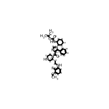 COc1cccc(NCC[C@@H]2CNCCN2C(=O)c2ncn([C@H]3CCCC[C@@H]3NC(=O)OC(C)C)c2-c2ccccc2)c1F